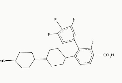 CCCCC[C@H]1CC[C@H](C2CCC(c3ccc(C(=O)O)c(F)c3-c3cc(F)c(F)c(F)c3)CC2)CC1